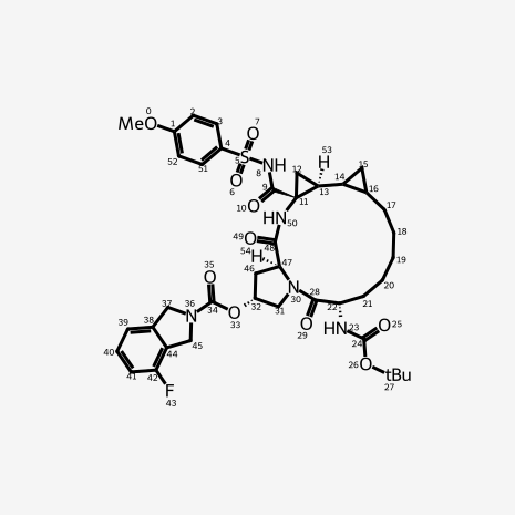 COc1ccc(S(=O)(=O)NC(=O)[C@@]23C[C@H]2C2CC2CCCCC[C@H](NC(=O)OC(C)(C)C)C(=O)N2C[C@H](OC(=O)N4Cc5cccc(F)c5C4)C[C@H]2C(=O)N3)cc1